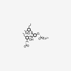 CC(=O)[O-].CC(=O)[O-].CCCc1cc(C=Nc2ccc(OC)cc2N=Cc2cc(CCC)cc(C(C)C)c2O)c(O)c(C(C)C)c1.[Co+2]